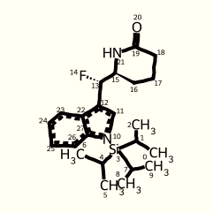 CC(C)[Si](C(C)C)(C(C)C)n1cc([C@H](F)[C@@H]2CCCC(=O)N2)c2ccccc21